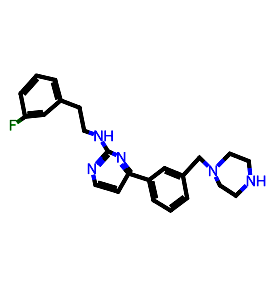 Fc1cccc(CCNc2nccc(-c3cccc(CN4CCNCC4)c3)n2)c1